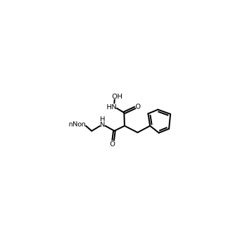 CCCCCCCCCCNC(=O)C(Cc1ccccc1)C(=O)NO